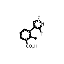 O=C(O)c1cccc(-c2c[nH]nc2F)c1F